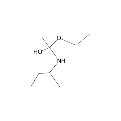 CCOC(C)(O)NC(C)CC